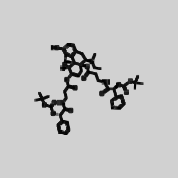 CCN(C)[C@@H]1Cc2ccc(O)c3c2[C@@]2(C)[C@@H](O3)C(OC(=O)CCNC(=O)[C@@H](OC(=O)OC(C)(C)C)c3ccccc3)=CC[C@@]12OC(=O)CCNC(=O)[C@@H](OC(=O)OC(C)(C)C)c1ccccc1